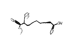 CC(=O)C(C)CCCCC(=O)O